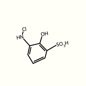 O=S(=O)(O)c1cccc(NCl)c1O